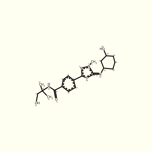 Cn1nc(-c2ccc(C(=O)NC(C)(C)CO)cc2)s/c1=N/C1CCCC(O)C1